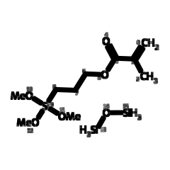 C=C(C)C(=O)OCCC[Si](OC)(OC)OC.[SiH3]O[SiH3]